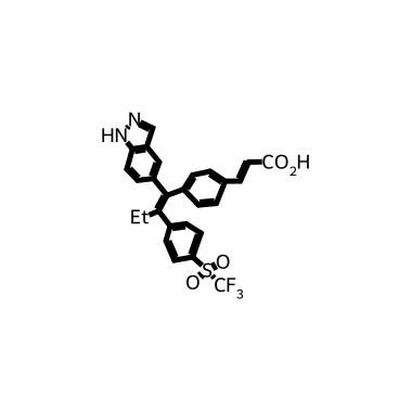 CC/C(=C(/c1ccc(/C=C/C(=O)O)cc1)c1ccc2[nH]ncc2c1)c1ccc(S(=O)(=O)C(F)(F)F)cc1